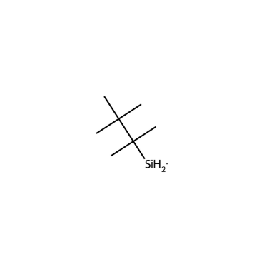 CC(C)(C)C(C)(C)[SiH2]